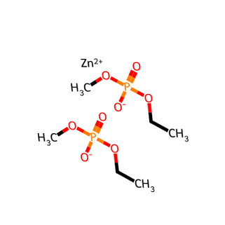 CCOP(=O)([O-])OC.CCOP(=O)([O-])OC.[Zn+2]